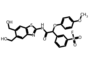 COc1ccc(OC(C(=O)Nc2nc3cc(CO)c(CO)cc3s2)c2cccc(S(=O)(=O)F)c2)cc1